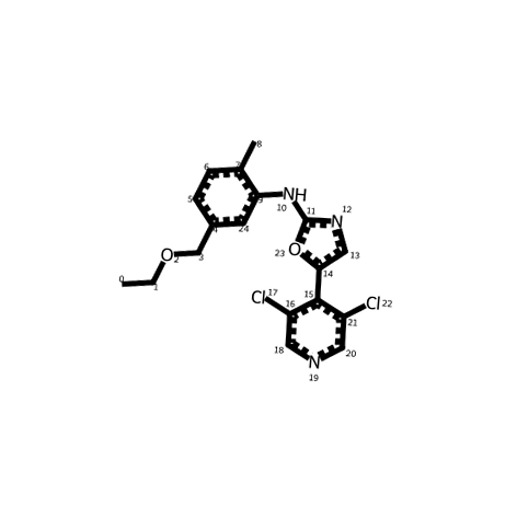 CCOCc1ccc(C)c(Nc2ncc(-c3c(Cl)cncc3Cl)o2)c1